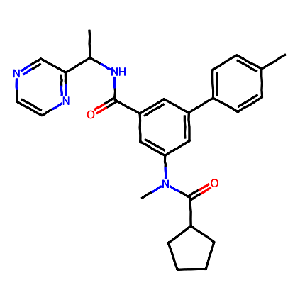 Cc1ccc(-c2cc(C(=O)NC(C)c3cnccn3)cc(N(C)C(=O)C3CCCC3)c2)cc1